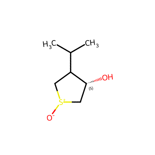 CC(C)C1C[S+]([O-])C[C@H]1O